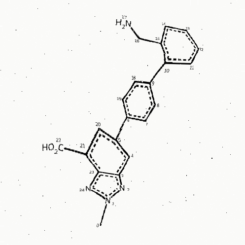 Cn1nc2cc(-c3ccc(-c4ccccc4CN)cc3)cc(C(=O)O)c2n1